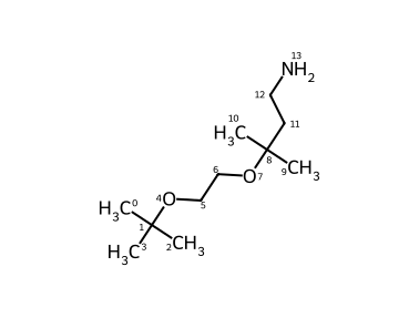 CC(C)(C)OCCOC(C)(C)CCN